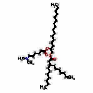 CCCCCCCCCCCCCCC(COC(=O)CC(CCCCCCC)CCCCCCC)OC(=O)CCCCCN(C)C